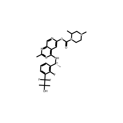 Cc1nc(N[C@H](C)c2cccc(C(F)(F)C(C)(C)O)c2F)c2cc(OC(=O)N3CCN(C)CC3C)ncc2n1